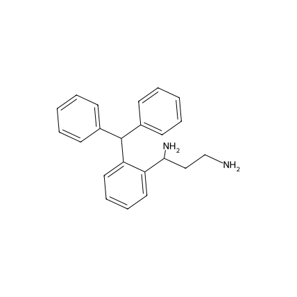 NCCC(N)c1ccccc1C(c1ccccc1)c1ccccc1